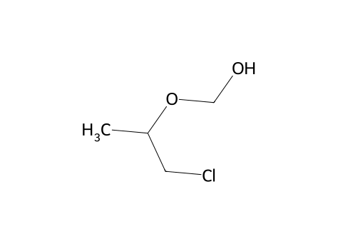 CC(CCl)OCO